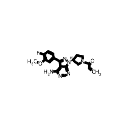 C=CC(=O)N1CC[C@@H](n2nc(-c3ccc(F)c(OC)c3)c3c(N)ncnc32)C1